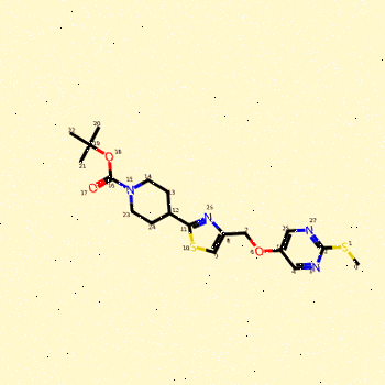 CSc1ncc(OCc2csc(C3CCN(C(=O)OC(C)(C)C)CC3)n2)cn1